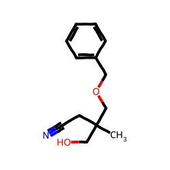 CC(CO)(CC#N)COCc1ccccc1